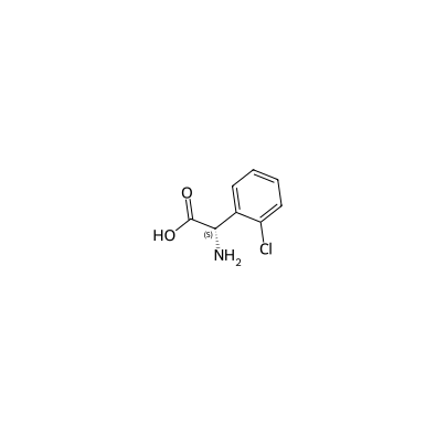 N[C@H](C(=O)O)c1ccccc1Cl